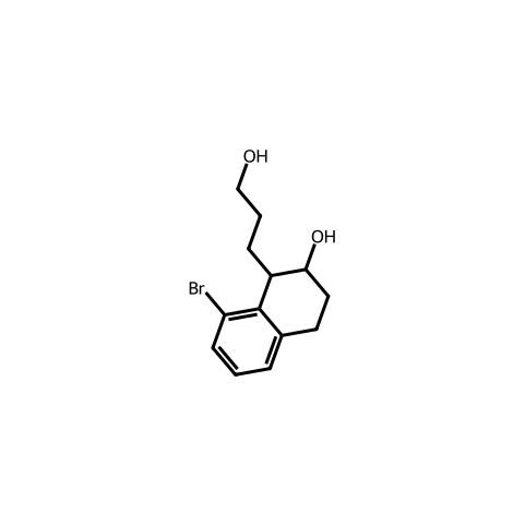 OCCCC1c2c(Br)cccc2CCC1O